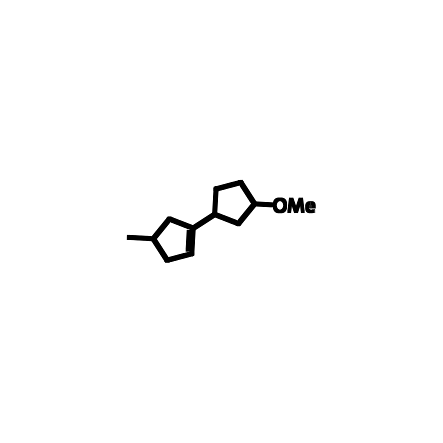 COC1CCC(C2=CCC(C)C2)C1